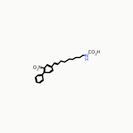 O=C(O)NCCCCCCC/C=C/c1ccc(-c2ccccc2)c([N+](=O)[O-])c1